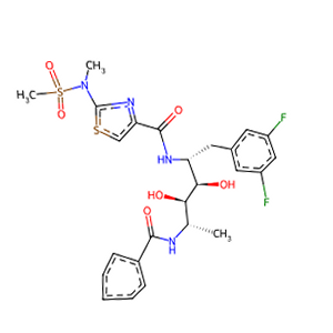 C[C@H](NC(=O)c1ccccc1)[C@@H](O)[C@H](O)[C@@H](Cc1cc(F)cc(F)c1)NC(=O)c1csc(N(C)S(C)(=O)=O)n1